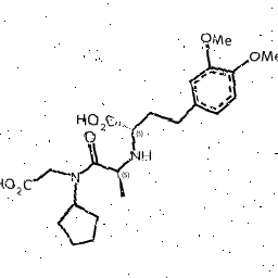 COc1ccc(CC[C@H](N[C@@H](C)C(=O)N(CC(=O)O)C2CCCC2)C(=O)O)cc1OC